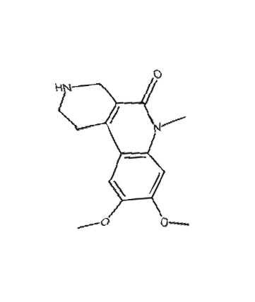 COc1cc2c3c(c(=O)n(C)c2cc1OC)CNCC3